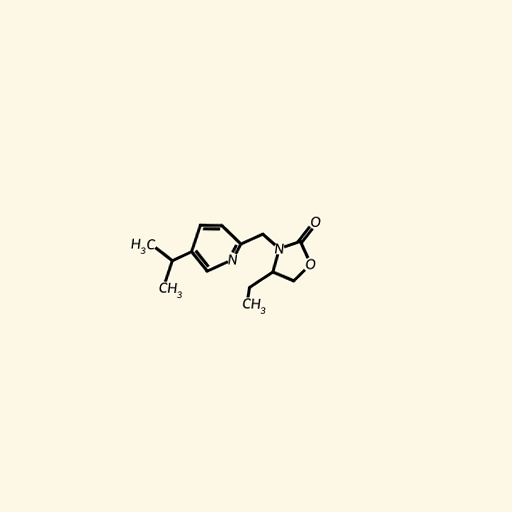 CCC1COC(=O)N1Cc1ccc(C(C)C)cn1